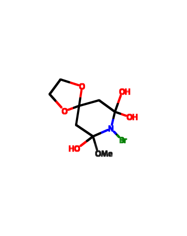 COC1(O)CC2(CC(O)(O)N1Br)OCCO2